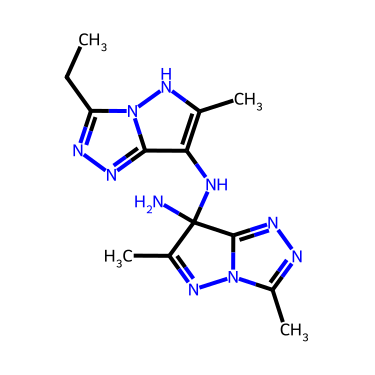 CCc1nnc2c(NC3(N)C(C)=Nn4c(C)nnc43)c(C)[nH]n12